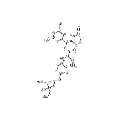 CCCCOP(=O)(CCOc1ccc(NC(=O)COc2ccc(Cl)cc2C(=O)c2cc(F)cc(C(F)(F)F)c2)c(C)c1)OCCCC